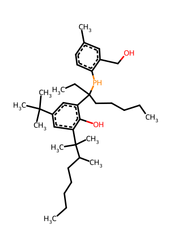 CCCCCC(C)C(C)(C)c1cc(C(C)(C)C)cc(C(CC)(CCCCC)Pc2ccc(C)cc2CO)c1O